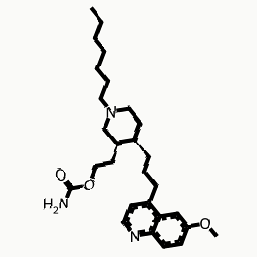 CCCCCCCN1CC[C@@H](CCCc2ccnc3ccc(OC)cc23)[C@@H](CCOC(N)=O)C1